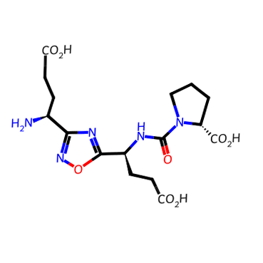 N[C@@H](CCC(=O)O)c1noc([C@H](CCC(=O)O)NC(=O)N2CCC[C@@H]2C(=O)O)n1